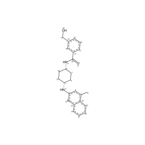 Cc1cc(N[C@H]2CC[C@@H](NC(=O)c3cccc(CO)c3)CC2)nc2ccccc12